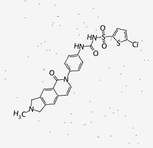 CN1Cc2cc3ccn(-c4ccc(NC(=O)NS(=O)(=O)c5ccc(Cl)s5)cc4)c(=O)c3cc2C1